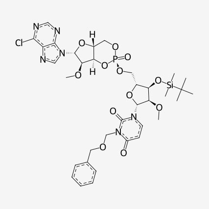 CO[C@@H]1[C@H](O[Si](C)(C)C(C)(C)C)[C@@H](CO[P@]2(=O)OC[C@H]3O[C@@H](n4cnc5c(Cl)ncnc54)[C@H](OC)[C@@H]3O2)O[C@H]1n1ccc(=O)n(COCc2ccccc2)c1=O